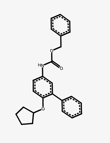 O=C(Nc1ccc(OC2CCCC2)c(-c2ccccc2)c1)OCc1ccccc1